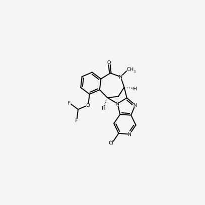 CN1C(=O)c2cccc(OC(F)F)c2[C@H]2C[C@@H]1c1nc3cnc(Cl)cc3n12